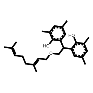 CC(C)=CCC/C(C)=C/COCC(c1cc(C)cc(C)c1O)c1cc(C)cc(C)c1O